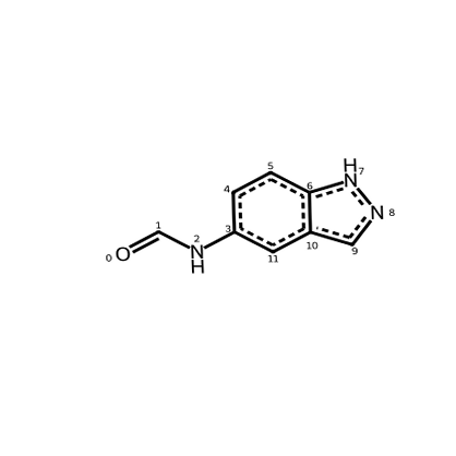 O=CNc1ccc2[nH]ncc2c1